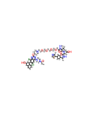 C=CC(=O)N1CCN(c2nc(OC3CCN(CCOCCOCCOCCOCC(=O)N[C@H](C(=O)N4C[C@H](O)C[C@H]4C(=O)N[C@@H](C)c4ccc(-c5scnc5C)cc4)C(C)(C)C)CC3)nc3c(F)c(-c4cc(O)cc5ccccc45)c(Cl)cc23)CC1